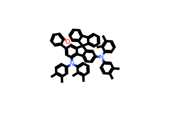 Cc1ccc(N(c2ccc3c(c2)C2(c4ccccc4-c4ccccc42)c2c-3c(N(c3ccc(C)c(C)c3)c3cccc(C)c3C)cc3c2oc2ccccc23)c2cccc(C)c2C)cc1C